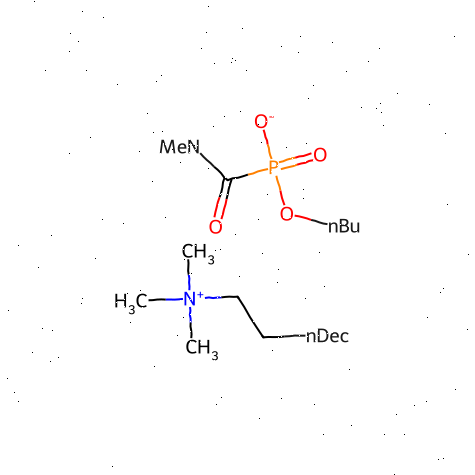 CCCCCCCCCCCC[N+](C)(C)C.CCCCOP(=O)([O-])C(=O)NC